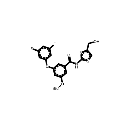 CC[C@H](C)Oc1cc(Oc2cc(F)cc(F)c2)cc(C(=O)Nc2nc(CO)cs2)c1